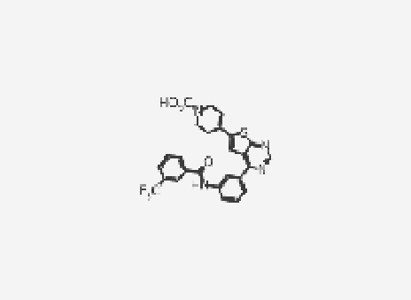 O=C(Nc1cccc(-c2ncnc3sc(C4=CCN(C(=O)O)CC4)cc23)c1)c1cccc(C(F)(F)F)c1